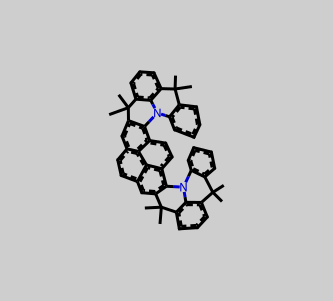 CC1(C)c2ccccc2N2c3c1cccc3C(C)(C)c1cc3ccc4cc5c(c6ccc(c12)c3c46)N1c2ccccc2C(C)(C)c2cccc(c21)C5(C)C